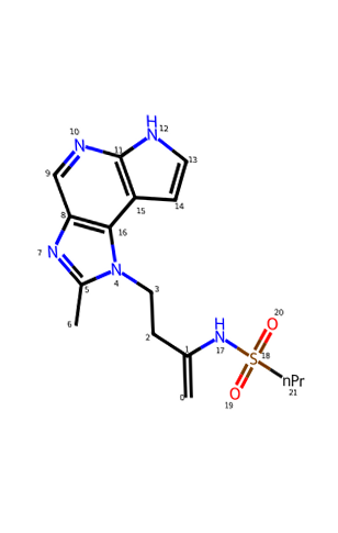 C=C(CCn1c(C)nc2cnc3[nH]ccc3c21)NS(=O)(=O)CCC